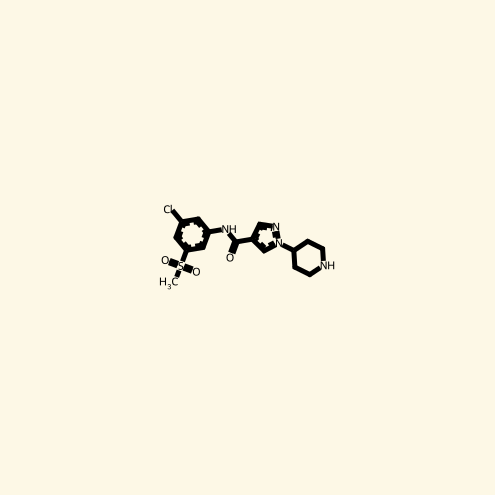 CS(=O)(=O)c1cc(Cl)cc(NC(=O)c2cnn(C3CCNCC3)c2)c1